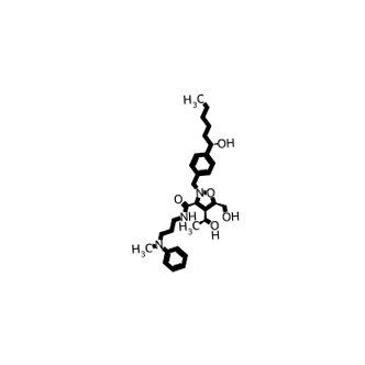 CCCCC[C@H](O)c1ccc(CN2O[C@@H](CO)[C@@H]([C@H](C)O)[C@H]2C(=O)NCCCN(C)c2ccccc2)cc1